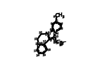 Cc1ccn2nc3[n+](c2c1)CC[n+]1ccccc1-3.[Br-].[Br-]